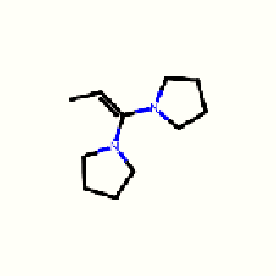 CC=C(N1CCCC1)N1CCCC1